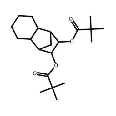 CC(C)(C)C(=O)OC1C2CC(C3CCCCC32)C1OC(=O)C(C)(C)C